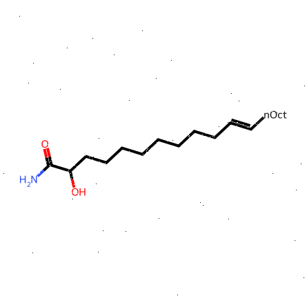 CCCCCCCCC=CCCCCCCCCC(O)C(N)=O